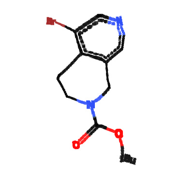 CC(C)(C)OC(=O)N1CCc2c(Br)cncc2C1